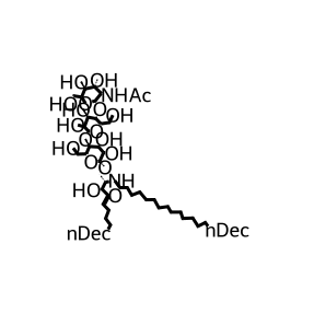 CCCCCCCCCCCCC/C=C/[C@@H](O)[C@H](CO[C@@H]1OC(CO)[C@@H](O[C@@H]2OC(CO)[C@@H](O[C@@H]3OC(CO)[C@@H](O)[C@H](O)C3NC(C)=O)[C@H](O)C2O)[C@H](O)C1O)NC(=O)CCCCCCCCCCCCCCCCCCCCCCC